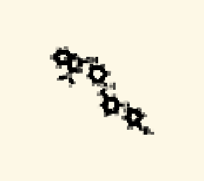 CN(C)c1nc(N[C@H]2CC[C@@H](NCc3cccc(Oc4ccc(C(C)(C)C)cc4)c3)CC2)nc2ccccc12